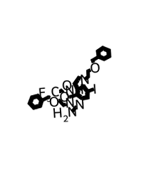 NC1=Nc2cc(I)c3c(ccn3CCOCc3ccccc3)c2C(N)(OC(=O)C(F)(F)F)N1CCOCc1ccccc1